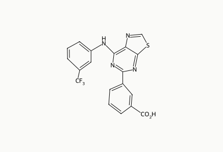 O=C(O)c1cccc(-c2nc(Nc3cccc(C(F)(F)F)c3)c3ncsc3n2)c1